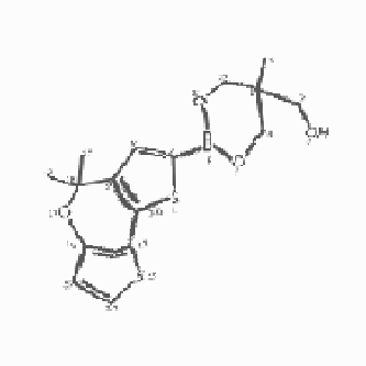 CC1(CO)COB(c2cc3c(s2)-c2sccc2OC3(C)C)OC1